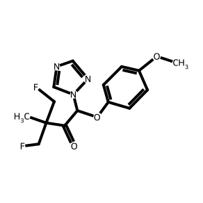 COc1ccc(OC(C(=O)C(C)(CF)CF)n2cncn2)cc1